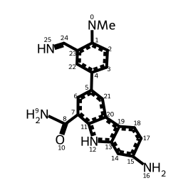 CNc1ccc(-c2cc(C(N)=O)c3[nH]c4cc(N)ccc4c3c2)cc1C=N